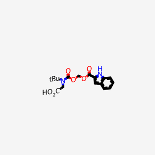 CC(C)(C)N(CC(=O)O)C(=O)OCOC(=O)c1cc2ccccc2[nH]1